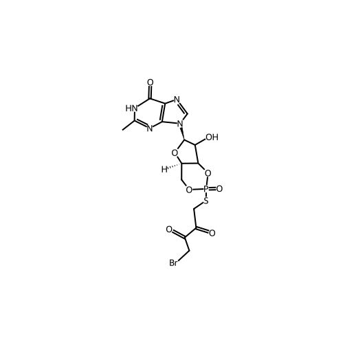 Cc1nc2c(ncn2[C@@H]2O[C@@H]3COP(=O)(SCC(=O)C(=O)CBr)OC3C2O)c(=O)[nH]1